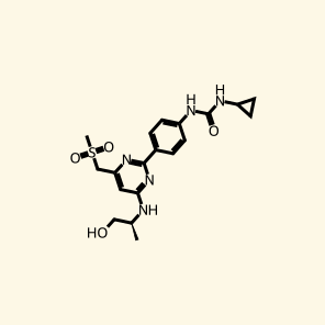 C[C@@H](CO)Nc1cc(CS(C)(=O)=O)nc(-c2ccc(NC(=O)NC3CC3)cc2)n1